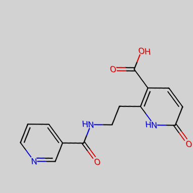 O=C(NCCc1[nH]c(=O)ccc1C(=O)O)c1cccnc1